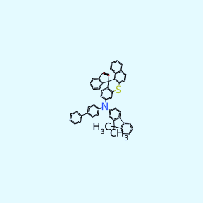 CC1(C)c2ccccc2-c2ccc(N(c3ccc(-c4ccccc4)cc3)c3ccc4c(c3)Sc3ccc5ccccc5c3C43c4ccccc4-c4ccccc43)cc21